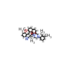 COc1ccccc1[C@H](c1cccc2ccccc12)C(C)(C#N)C(=O)N1CCN(c2cccc(C)c2C)CC1